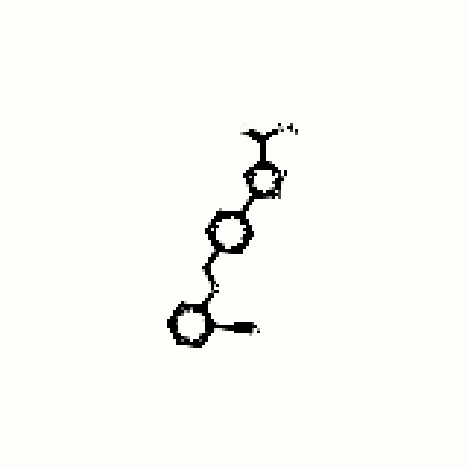 N#Cc1ccccc1OCc1ccc(-c2cc(C(N)=O)on2)cc1